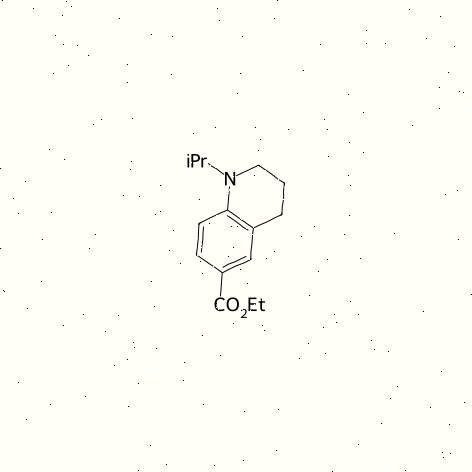 CCOC(=O)c1ccc2c(c1)CCCN2C(C)C